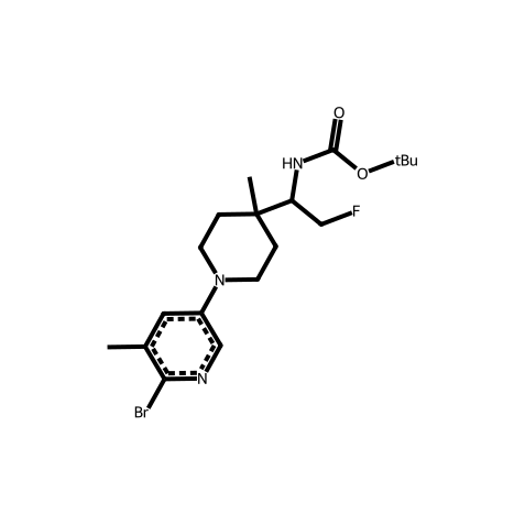 Cc1cc(N2CCC(C)(C(CF)NC(=O)OC(C)(C)C)CC2)cnc1Br